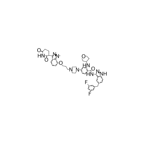 Cn1nc(C2CCC(=O)NC2=O)c2cccc(OCCCN3CCN(c4ccc(C(=O)Nc5n[nH]c6ccc(Cc7cc(F)cc(F)c7)cc56)c(NC5CCOCC5)c4)CC3)c21